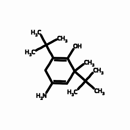 CC(C)(C)C1=C(O)C(C)(C(C)(C)C)C=C(N)C1